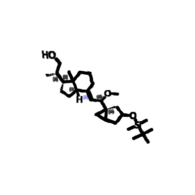 CO[C@H](/C=C1\CCCC2(C)[C@@H]([C@H](C)CO)CC[C@@H]12)[C@@]12CC(O[Si](C)(C)C(C)(C)C)CC1C2